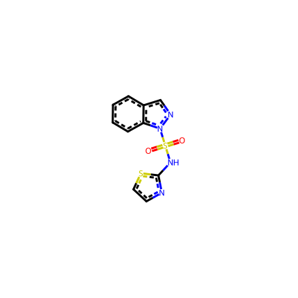 O=S(=O)(Nc1nccs1)n1ncc2ccccc21